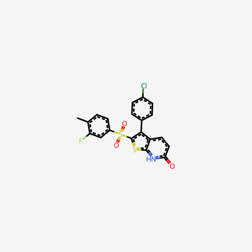 Cc1ccc(S(=O)(=O)c2sc3[nH]c(=O)ccc3c2-c2ccc(Cl)cc2)cc1F